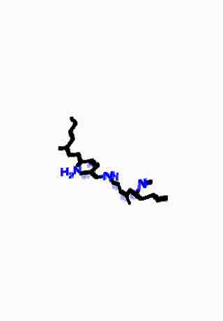 C=CCC\C(=C/C(C)=C\C=C\NCC(/C=C\C(C)CCC(C)CCCC)=C/N)N=C